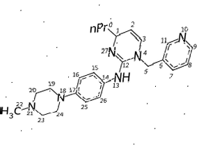 CCCC1C=CN(Cc2cccnc2)C(Nc2ccc(N3CCN(C)CC3)cc2)=N1